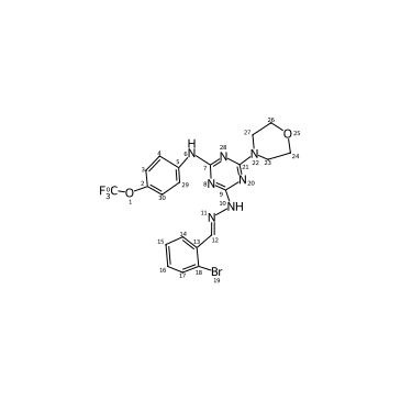 FC(F)(F)Oc1ccc(Nc2nc(N/N=C/c3ccccc3Br)nc(N3CCOCC3)n2)cc1